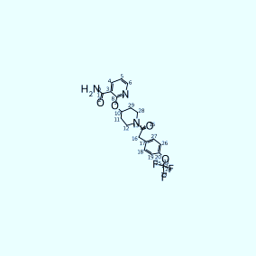 NC(=O)c1cccnc1OC1CCN(C(=O)Cc2ccc(OC(F)(F)F)cc2)CC1